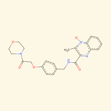 Cc1c(C(=O)NCc2ccc(OCC(=O)N3CCOCC3)cc2)nc2ccccc2[n+]1[O-]